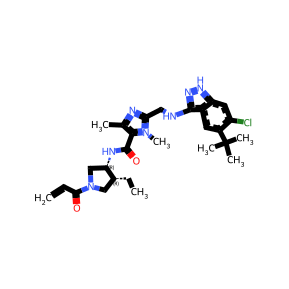 C=CC(=O)N1C[C@@H](CC)[C@@H](NC(=O)c2c(C)nc(CNc3n[nH]c4cc(Cl)c(C(C)(C)C)cc34)n2C)C1